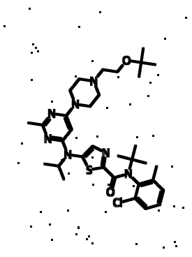 Cc1nc(N2CCN(CCOC(C)(C)C)CC2)cc(N(c2cnc(C(=O)N(c3c(C)cccc3Cl)C(C)(C)C)s2)C(C)C)n1